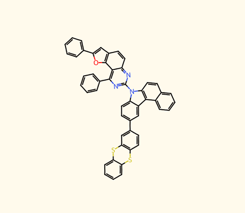 c1ccc(-c2cc3ccc4nc(-n5c6ccc(-c7ccc8c(c7)Sc7ccccc7S8)cc6c6c7ccccc7ccc65)nc(-c5ccccc5)c4c3o2)cc1